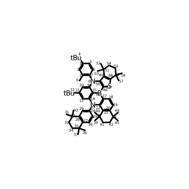 Cc1cc(C(C)(C)C)ccc1N1c2cc(C(C)(C)C)cc3c2B(c2ccc4c(c2N3c2ccc3c(c2)C(C)(C)CCC3(C)C)C(C)(C)CCC4(C)C)c2sc3c(c21)C(C)(C)CCC3(C)C